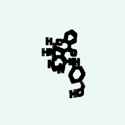 Cc1ccccc1C(=O)c1c[nH]c2ncnc(N[C@H]3CC[C@@H](CO)CC3)c12